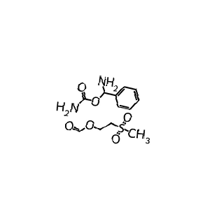 CS(=O)(=O)CCOC=O.NC(=O)OC(N)c1ccccc1